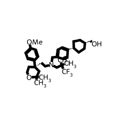 COc1ccc([C@]2(CCN(Cc3ccc([C@H]4CC[C@@H](CO)CC4)cc3)CC(C)(C)C(F)(F)F)CCOC(C)(C)C2)cc1